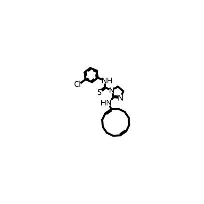 S=C(Nc1cccc(Cl)c1)N1CCN=C1NC1=CCCCCC=CCCCC1